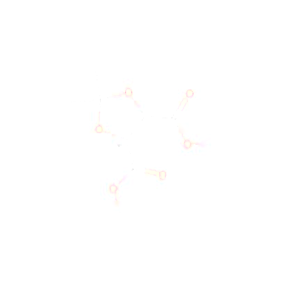 COC(=O)C1OC(C)(C)O[C@H]1C(=O)OC